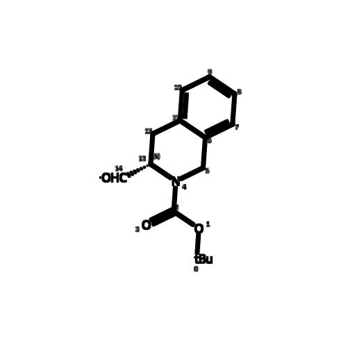 CC(C)(C)OC(=O)N1Cc2ccccc2C[C@H]1[C]=O